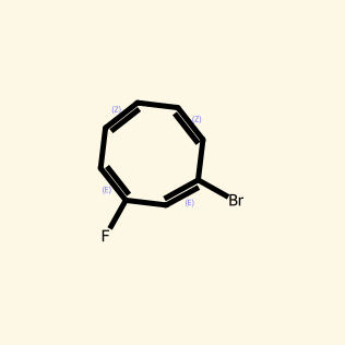 FC1=C/C=C\C=C/C(Br)=C\1